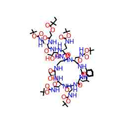 CCC(C)(C)C(=O)OCCC(=O)N[C@@H](CCNC(=O)OC(C)(C)C)C(=O)N[C@H](C(=O)N[C@@H](CCNC(=O)OC(C)(C)C)C(=O)N[C@H]1CCNC(=O)[C@H](C(C)O)NC(=O)[C@H](CCNC(=O)OC(C)(C)C)NC(=O)[C@H](CCNC(=O)OC(C)(C)C)NC(=O)[C@H](CC(C)C)NC(=O)[C@@H](Cc2ccccc2)NC(=O)[C@H](CCNC(=O)OC(C)(C)C)NC1=O)C(C)O